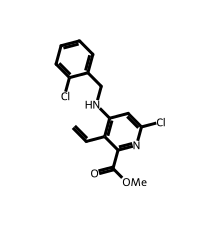 C=Cc1c(NCc2ccccc2Cl)cc(Cl)nc1C(=O)OC